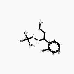 CC(C)(O)OSC(CCO)c1ccncc1Cl